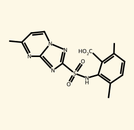 Cc1ccn2nc(S(=O)(=O)Nc3c(C)ccc(C)c3C(=O)O)nc2n1